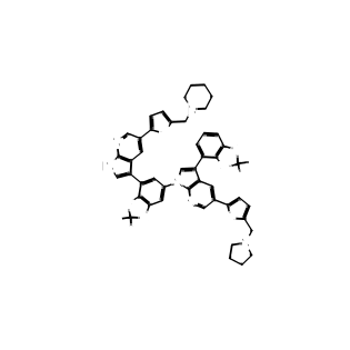 FC1(F)Oc2cc(-n3cc(-c4cccc5c4OC(F)(F)O5)c4cc(-c5ccc(CN6CCCC6)s5)cnc43)cc(-c3c[nH]c4ncc(-c5ccc(CN6CCCCC6)s5)cc34)c2O1